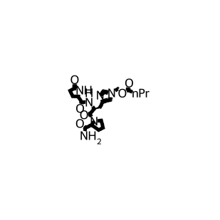 CCCC(=O)OCn1cnc(C[C@H](NC(=O)C2CCC(=O)N2)C(=O)N2CCCC2C(N)=O)c1